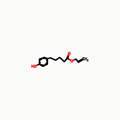 C=CCOC(=O)CCCCc1ccc(O)cc1